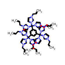 C=CCN1C=CN(C(c2cc(C(N3C=CN(CC=C)C3)(N3C=CN(CC=C)C3)N3C=CN(CC=C)C3)cc(C(N3C=CN(CC=C)C3)(N3C=CN(CC=C)C3)N3C=CN(CC=C)C3)c2)(N2C=CN(CC=C)C2)N2C=CN(CC=C)C2)C1